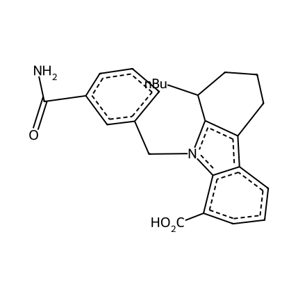 CCCCC1CCCc2c1n(Cc1cccc(C(N)=O)c1)c1c(C(=O)O)cccc21